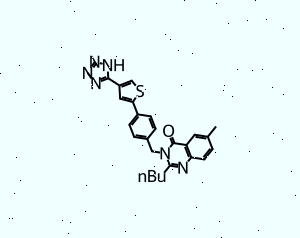 CCCCc1nc2ccc(C)cc2c(=O)n1Cc1ccc(-c2cc(-c3nnn[nH]3)cs2)cc1